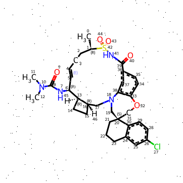 C[C@@H]1CC/C=C/[C@H](NC(=O)N(C)C)[C@@H]2CC[C@H]2CN2C[C@@]3(CCCc4cc(Cl)ccc43)COc3ccc(cc32)C(=O)NS1(=O)=O